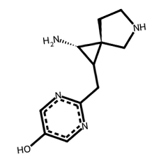 N[C@H]1C(Cc2ncc(O)cn2)[C@]12CCNC2